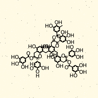 Cc1cc(C(=O)O[C@@H]2Cc3c(O)c(Cc4c(O)cc(O)c5c4O[C@H](c4cc(O)c(O)c(O)c4)[C@H](OC(=O)c4cc(O)c(O)c(O)c4)C5)c(O)c(Cc4c(O)cc(O)c5c4O[C@H](c4cc(O)c(O)c(O)c4)[C@H](OC(=O)c4cc(O)c(O)c(O)c4)C5)c3O[C@@H]2c2cc(O)c(O)c(O)c2)cc(O)c1O